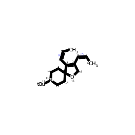 C/C=C\C1=C(/C=C\C)C2(CCN(C(C)(C)C)CC2)OC1